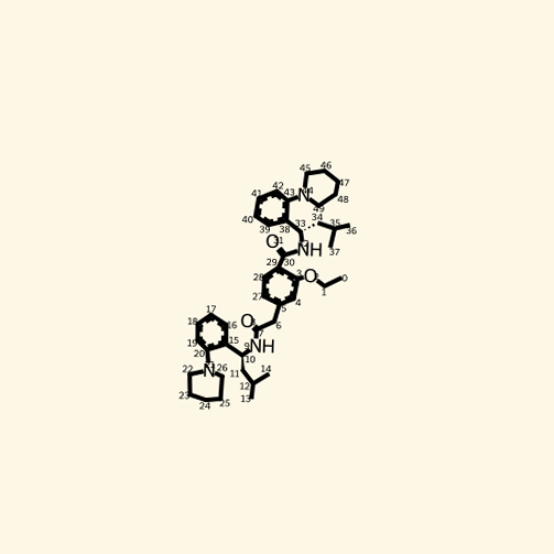 CCOc1cc(CC(=O)N[C@@H](CC(C)C)c2ccccc2N2CCCCC2)ccc1C(=O)N[C@@H](CC(C)C)c1ccccc1N1CCCCC1